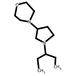 CCC(CC)N1CCC(N2CCOCC2)C1